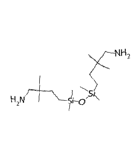 CC(C)(CN)CC[Si](C)(C)O[Si](C)(C)CCC(C)(C)CN